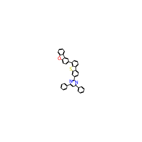 c1ccc(-c2cc(-c3ccccc3)nc(-c3ccc4c(c3)sc3c(-c5ccc6oc7ccccc7c6c5)cccc34)n2)cc1